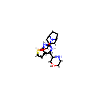 OCC1CC2CCC(C1)N2c1nc(C2COCCN2)c2ccsc2n1